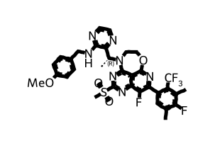 COc1ccc(CNc2nccnc2[C@@H](C)N2CCOc3nc(-c4cc(C)c(F)c(C)c4C(F)(F)F)c(F)c4nc(S(C)(=O)=O)nc2c34)cc1